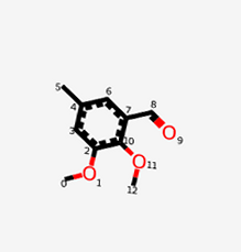 COc1cc(C)cc(C=O)c1OC